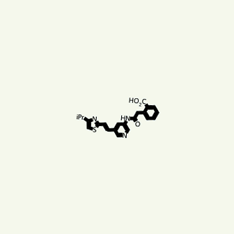 CC(C)c1csc(C=Cc2cncc(NC(=O)Cc3ccccc3C(=O)O)c2)n1